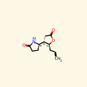 C=CC[C@@H]1OC(=O)C[C@H]1[C@H]1CCC(=O)N1